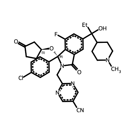 CCC(O)(c1cc(F)c2c(c1)C(=O)N(Cc1ncc(C#N)cn1)[C@@]2(O[C@H]1CCC(=O)C1)c1ccc(Cl)cc1)C1CCN(C)CC1